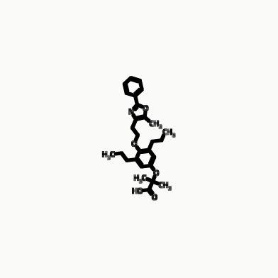 CCCc1cc(OC(C)(C)C(=O)O)cc(CCC)c1OCCc1nc(-c2ccccc2)oc1C